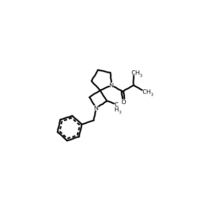 CC(C)C(=O)N1CCCC12CN(Cc1ccccc1)C2C